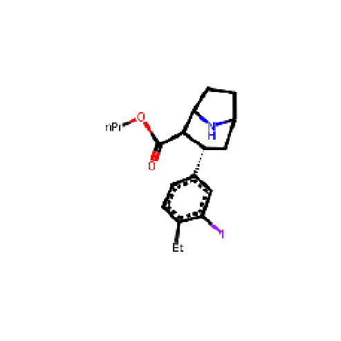 CCCOC(=O)C1C2CCC(C[C@@H]1c1ccc(CC)c(I)c1)N2